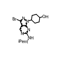 CCCC(C)Nc1ncc2c(Br)nn(C3CCC(O)CC3)c2n1